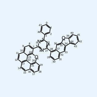 c1ccc(-c2nc(-c3ccc4ccc5ccc6cccc7c6c5c4c3O7)nc(-c3cccc4cc5c(cc34)oc3ccccc35)n2)cc1